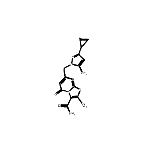 NC(=O)c1c(C(F)(F)F)sc2nc(Cn3nc(C4CC4)cc3C(F)(F)F)cc(=O)n12